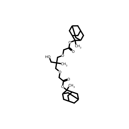 CC(CO)(COCC(=O)OC1(C)C2CC3CC(C2)CC1C3)COCC(=O)OC1(C)C2CC3CC(C2)CC1C3